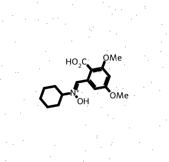 COc1cc(/C=[N+](\O)C2CCCCC2)c(C(=O)O)c(OC)c1